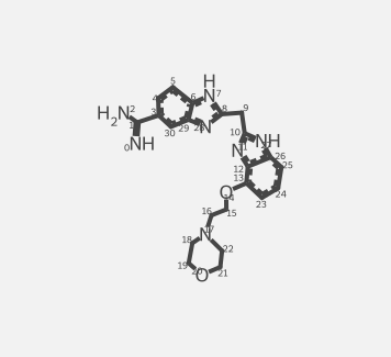 N=C(N)c1ccc2[nH]c(Cc3nc4c(OCCN5CCOCC5)cccc4[nH]3)nc2c1